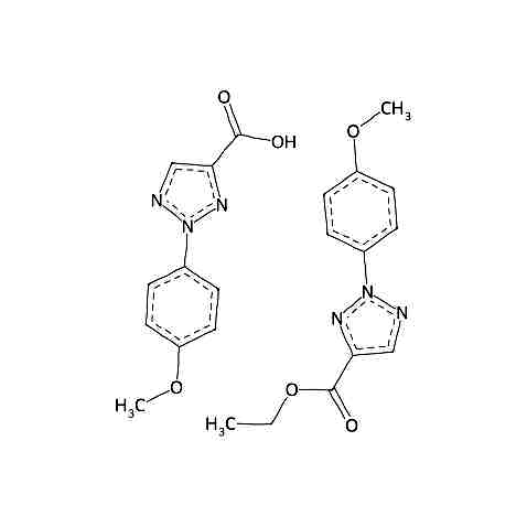 CCOC(=O)c1cnn(-c2ccc(OC)cc2)n1.COc1ccc(-n2ncc(C(=O)O)n2)cc1